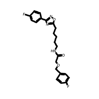 O=C(COCc1ccc(F)cc1)NCCCCCc1nc(-c2ccc(F)cc2)no1